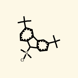 CC(C)(C)c1ccc2c(c1)-c1cc(C(C)(C)C)ccc1C2[Si](C)(C)Cl